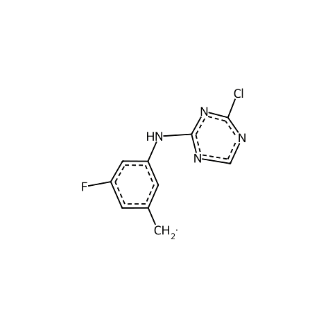 [CH2]c1cc(F)cc(Nc2ncnc(Cl)n2)c1